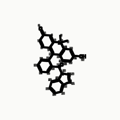 C[Si]1(C)C2=CC(=O)C=CC2=C(c2ccccc2C(=O)n2nnc3ccccc32)c2ccc(O)cc21